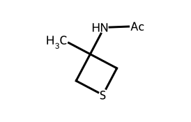 CC(=O)NC1(C)CSC1